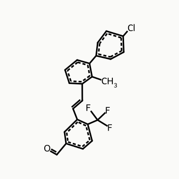 Cc1c(/C=C/c2cc(C=O)ccc2C(F)(F)F)cccc1-c1ccc(Cl)cc1